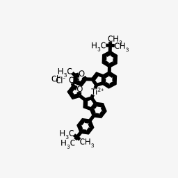 Cc1ccc(C2=Cc3c(-c4ccc(C(C)(C)C)cc4)cccc3[CH]2[Ti+2][CH]2C(c3ccc(C)o3)=Cc3c(-c4ccc(C(C)(C)C)cc4)cccc32)o1.[Cl-].[Cl-]